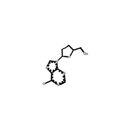 OCC1CCC(n2cnc3c(Cl)ncnc32)O1